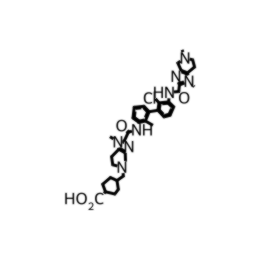 Cc1c(NC(=O)c2nc3c(n2C)CCN(CC2CCC(C(=O)O)CC2)C3)cccc1-c1cccc(NC(=O)c2nc3c(n2C)CCN(C)C3)c1Cl